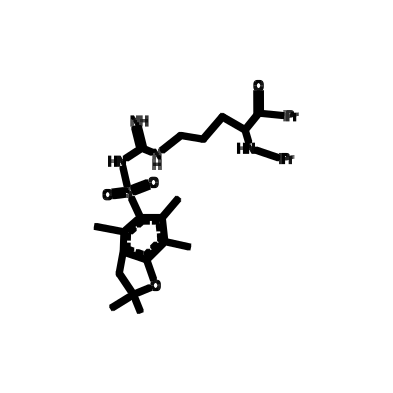 Cc1c(C)c(S(=O)(=O)NC(=N)NCCCC(NC(C)C)C(=O)C(C)C)c(C)c2c1OC(C)(C)C2